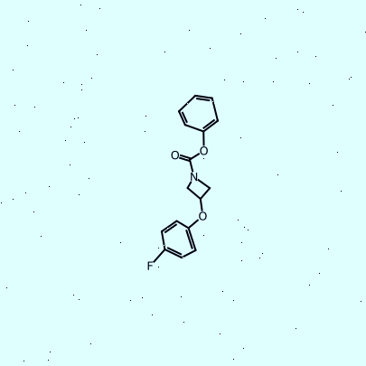 O=C(Oc1ccccc1)N1CC(Oc2ccc(F)cc2)C1